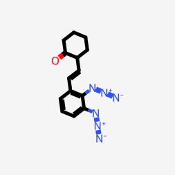 [N-]=[N+]=Nc1cccc(C=CC2CCCCC2=O)c1N=[N+]=[N-]